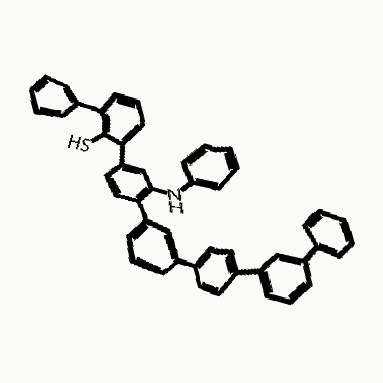 Sc1c(-c2ccccc2)cccc1-c1ccc(-c2cccc(-c3ccc(-c4cccc(-c5ccccc5)c4)cc3)c2)c(Nc2ccccc2)c1